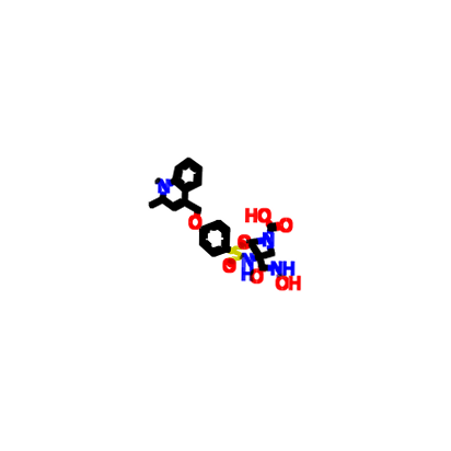 CC1C=C(COc2ccc(S(=O)(=O)NC3(C(=O)NO)CN(C(=O)O)C3)cc2)c2ccccc2N1C